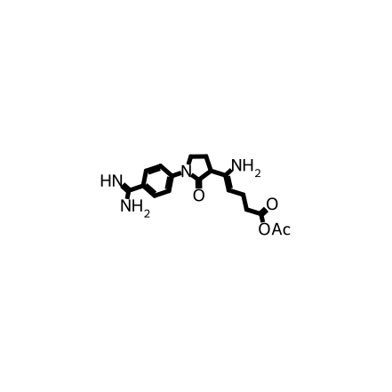 CC(=O)OC(=O)CCC=C(N)C1CCN(c2ccc(C(=N)N)cc2)C1=O